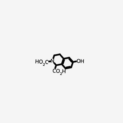 O=C(O)C1c2ccc(O)cc2CCN1C(=O)O